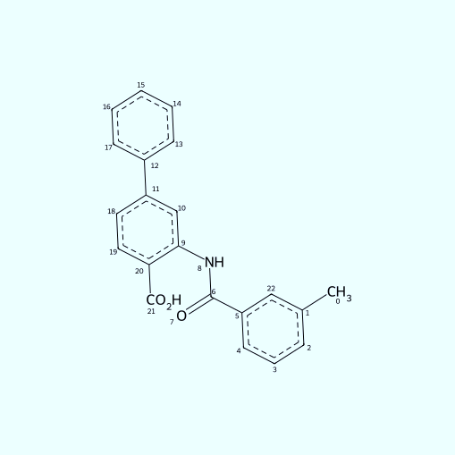 Cc1cccc(C(=O)Nc2cc(-c3ccccc3)ccc2C(=O)O)c1